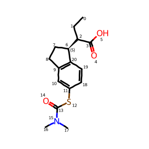 CCC(C(=O)O)[C@@H]1CCc2cc(SC(=O)N(C)C)ccc21